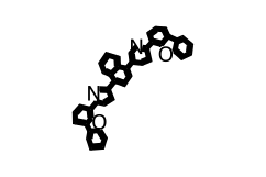 c1ccc2c(c1)oc1c(-c3ccc(-c4ccc(-c5ccc(-c6cccc7c6oc6ccccc67)nc5)c5ccccc45)cn3)cccc12